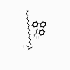 CCCCCCCCCCCCCCCC[N+](C)(C)C.CCCC[B-](c1ccccc1)(c1ccccc1)c1ccccc1